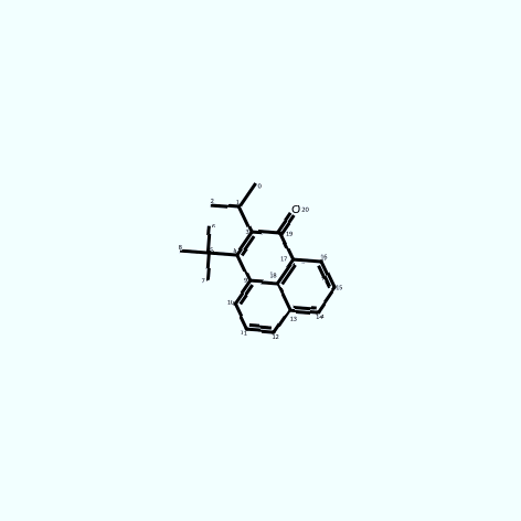 CC(C)C1=C(C(C)(C)C)c2cccc3cccc(c23)C1=O